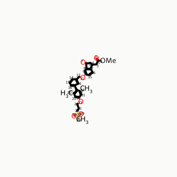 COC(=O)CC1CC(=O)c2cc(OCc3cccc(-c4c(C)cc(OCCCS(C)(=O)=O)cc4C)c3)ccc21